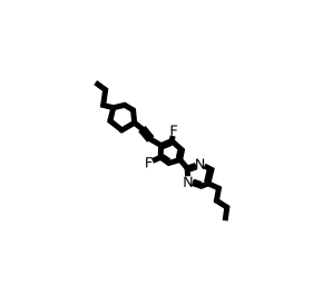 CCCCc1cnc(-c2cc(F)c(C#CC3CCC(CCC)CC3)c(F)c2)nc1